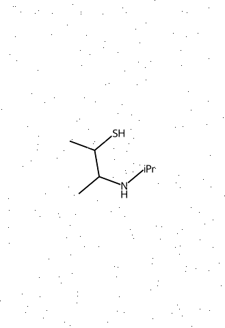 CC(C)NC(C)C(C)S